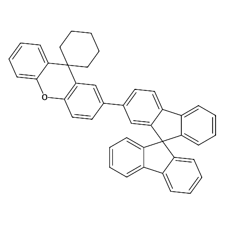 c1ccc2c(c1)Oc1ccc(-c3ccc4c(c3)C3(c5ccccc5-c5ccccc53)c3ccccc3-4)cc1C21CCCCC1